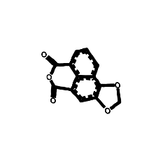 O=C1OC(=O)c2cc3c(c4cccc1c24)OCO3